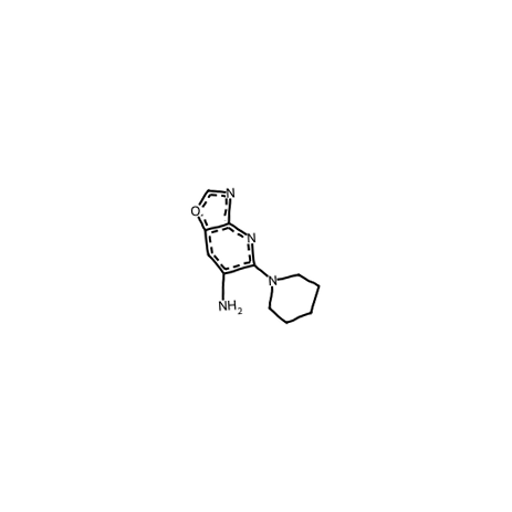 Nc1cc2ocnc2nc1N1CCCCC1